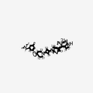 CN(C)Cc1cc(F)cc(OC2CCN(C3CC(n4cc(-c5ncnc6[nH]ccc56)cn4)C3)CC2)c1